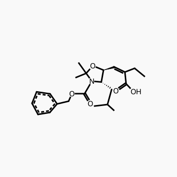 CCC(=C[C@@H]1OC(C)(C)N(C(=O)OCc2ccccc2)[C@H]1CC(C)C)C(=O)O